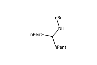 [CH2]CC[CH]NC(CCCCC)CCCCC